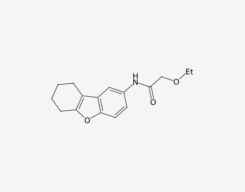 CCOCC(=O)Nc1ccc2oc3c(c2c1)CCCC3